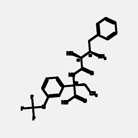 CC[C@](NC(=O)[C@@H](O)[C@H](N)Cc1ccccc1)(C(=O)O)c1cccc(OC(F)(F)F)c1